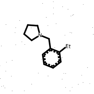 CCc1ccccc1CN1CCCC1